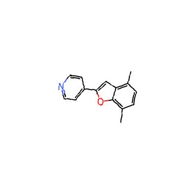 Cc1ccc(C)c2oc(-c3ccncc3)cc12